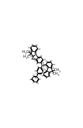 CC1(C)c2ccccc2-c2c(N(c3ccc(-c4ccccc4)cc3)c3ccc4c(c3)nc3n4-c4ccccc4C3(C)C)cccc21